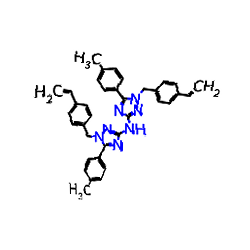 C=Cc1ccc(Cn2nc(Nc3nc(-c4ccc(C)cc4)n(Cc4ccc(C=C)cc4)n3)nc2-c2ccc(C)cc2)cc1